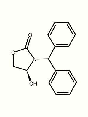 O=C1OC[C@H](O)N1C(c1ccccc1)c1ccccc1